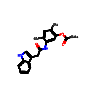 COC(=O)Oc1cc(NC(=O)Cc2c[nH]c3ccccc23)c(C(C)(C)C)cc1C(C)(C)C